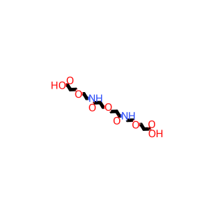 O=C(O)CCOCCNC(=O)CCOCCC(=O)NCCOCCC(=O)O